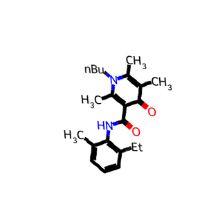 CCCCn1c(C)c(C)c(=O)c(C(=O)Nc2c(C)cccc2CC)c1C